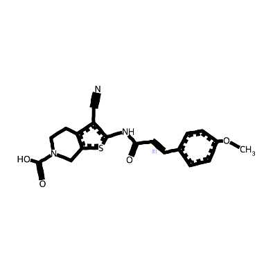 COc1ccc(/C=C/C(=O)Nc2sc3c(c2C#N)CCN(C(=O)O)C3)cc1